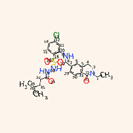 CCN1CCc2cc(CNc3cc(Cl)ccc3S(=O)(=O)NNC(=O)CCC(C)C)ccc2C1=O